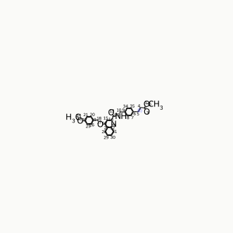 COC(=O)/C=C/c1ccc(CNC(=O)c2cc(OCc3ccc(OC)cc3)c3ccccc3n2)cc1